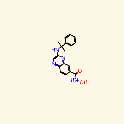 CC(C)(Nc1cnc2ccc(C(=O)NO)cc2n1)c1ccccc1